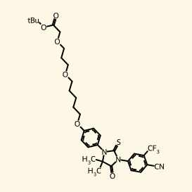 CC(C)(C)OC(=O)COCCCOCCCCCOc1ccc(N2C(=S)N(c3ccc(C#N)c(C(F)(F)F)c3)C(=O)C2(C)C)cc1